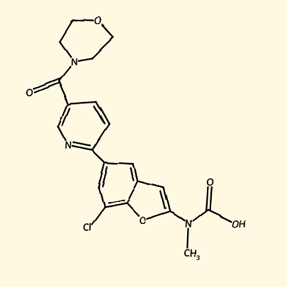 CN(C(=O)O)c1cc2cc(-c3ccc(C(=O)N4CCOCC4)cn3)cc(Cl)c2o1